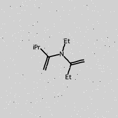 C=C(CC)N(CC)C(=C)C(C)C